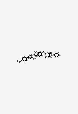 CC/C(=C/C(=O)c1ccc(C(F)(F)F)cc1)N[C@@H](Cc1ccc(OCCc2nc(-c3ccccc3)sc2CC)cc1)C(=O)O